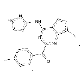 O=C(c1ccc(F)cc1)c1nc(Nc2cc[nH]n2)c2ccc(Cl)n2n1